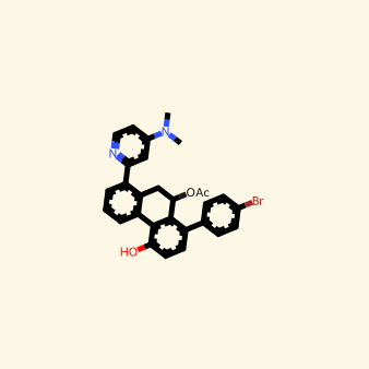 CC(=O)OC1Cc2c(-c3cc(N(C)C)ccn3)cccc2-c2c(O)ccc(-c3ccc(Br)cc3)c21